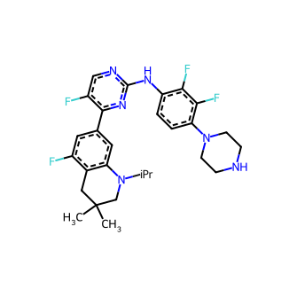 CC(C)N1CC(C)(C)Cc2c(F)cc(-c3nc(Nc4ccc(N5CCNCC5)c(F)c4F)ncc3F)cc21